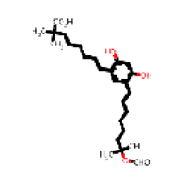 CC(C)(CCCCCCc1cc(CCCCCCC(C)(C)C(=O)O)c(O)cc1O)OC=O